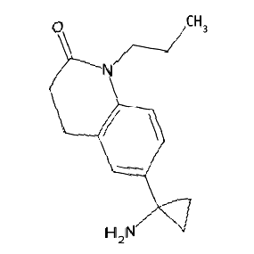 CCCN1C(=O)CCc2cc(C3(N)CC3)ccc21